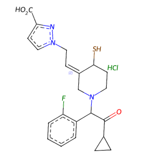 Cl.O=C(O)c1ccn(C/C=C2/CN(C(C(=O)C3CC3)c3ccccc3F)CCC2S)n1